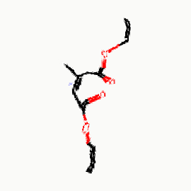 C=COC(=O)/C=C(/C)C(=O)OC=C